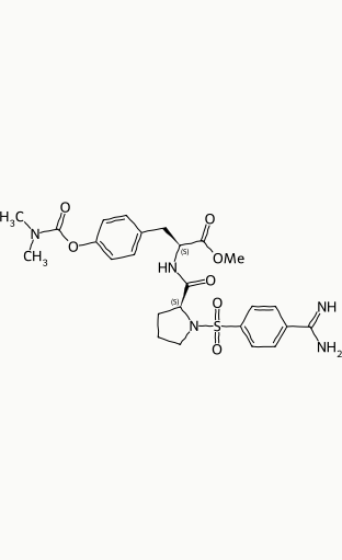 COC(=O)[C@H](Cc1ccc(OC(=O)N(C)C)cc1)NC(=O)[C@@H]1CCCN1S(=O)(=O)c1ccc(C(=N)N)cc1